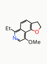 CCc1ncc(OC)c2c3c(ccc12)CCO3